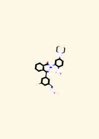 O=c1c2ccccc2c(-c2cc(Br)cc(C=NO)c2)nn1-c1cc(N2CCOCC2)ccc1[N+](=O)[O-]